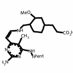 CCCCCNc1nc(N)nc(/C=C\NCC2CCC(CCC(=O)O)CC2OC)c1C